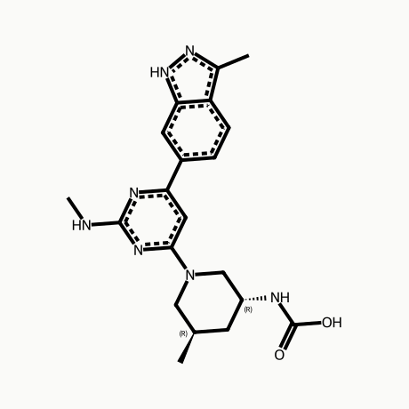 CNc1nc(-c2ccc3c(C)n[nH]c3c2)cc(N2C[C@H](C)C[C@@H](NC(=O)O)C2)n1